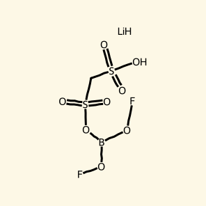 O=S(=O)(O)CS(=O)(=O)OB(OF)OF.[LiH]